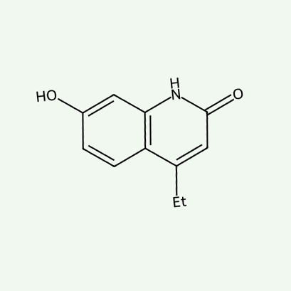 CCc1cc(=O)[nH]c2cc(O)ccc12